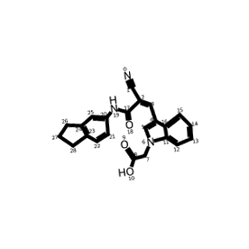 N#CC(=Cc1cn(CC(=O)O)c2ccccc12)C(=O)Nc1ccc2c(c1)CCC2